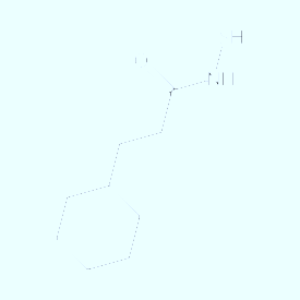 O=C(CCC1CCCCC1)NS